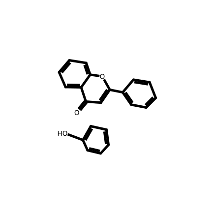 O=c1cc(-c2ccccc2)oc2ccccc12.Oc1ccccc1